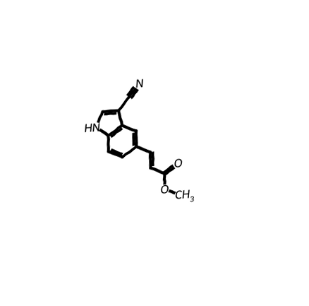 COC(=O)/C=C/c1ccc2[nH]cc(C#N)c2c1